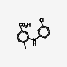 Cc1ccc(C(=O)O)cc1Nc1cccc(Cl)c1